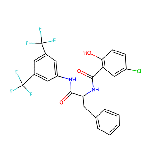 O=C(NC(Cc1ccccc1)C(=O)Nc1cc(C(F)(F)F)cc(C(F)(F)F)c1)c1cc(Cl)ccc1O